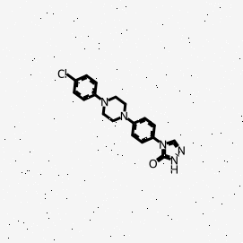 O=c1[nH]ncn1-c1ccc(N2CCN(c3ccc(Cl)cc3)CC2)cc1